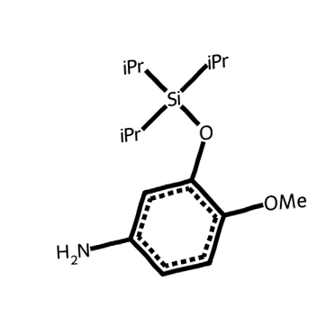 COc1ccc(N)cc1O[Si](C(C)C)(C(C)C)C(C)C